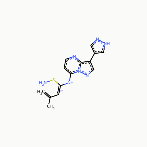 C=C(C)/C=C(/Nc1ccnc2c(-c3cn[nH]c3)cnn12)SN